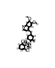 COc1cc2nccc(Cc3ccc(NS(=O)(=O)c4c(Cl)cccc4Cl)c(F)c3)c2cc1OC